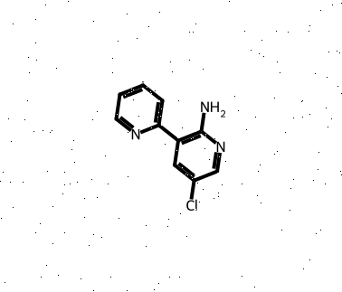 Nc1ncc(Cl)cc1-c1c[c]ccn1